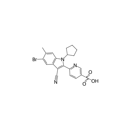 Cc1cc2c(cc1Br)c(C#N)c(-c1ccc(S(=O)(=O)O)cn1)n2C1CCCC1